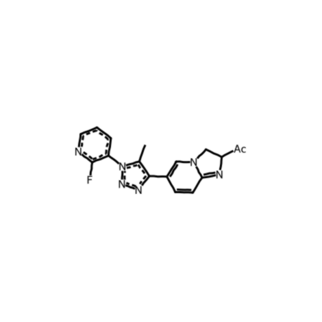 CC(=O)C1CN2C=C(c3nnn(-c4cccnc4F)c3C)C=CC2=N1